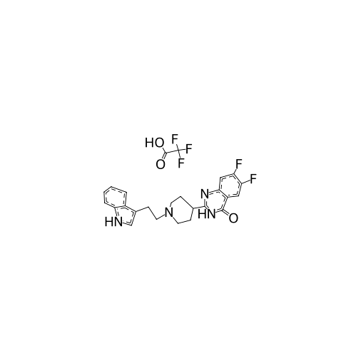 O=C(O)C(F)(F)F.O=c1[nH]c(C2CCN(CCc3c[nH]c4ccccc34)CC2)nc2cc(F)c(F)cc12